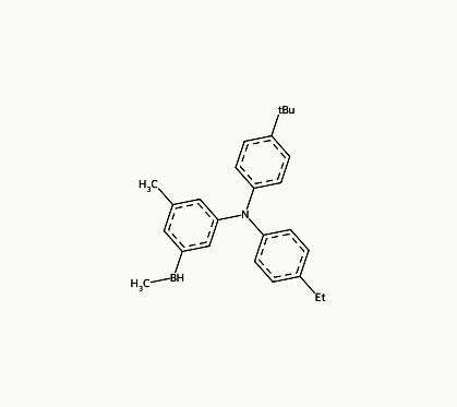 CBc1cc(C)cc(N(c2ccc(CC)cc2)c2ccc(C(C)(C)C)cc2)c1